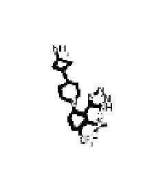 CS(=O)(=O)c1c(C(F)(F)F)ccc(N2CCC(C3CC(N)C3)CC2)c1-c1nnn[nH]1